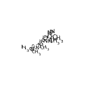 Cc1c(-c2[nH]c3sc(N4CCN(CC(=O)N(C)C)C[C@@H]4C)nc3c2C(C)C)cn2ncnc2c1C